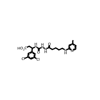 Cc1ccnc(NCCCCC(=O)NNC(=O)NC(CC(=O)O)c2cc(Cl)cc(Cl)c2)c1